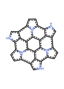 c1[nH]c2c3c1c1ccc4c5[nH]cc6c5c5c(c3c3c7c8c(c[nH]c8c8ccc6n8c57)c5ccc2n53)n14